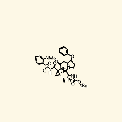 C=C[C@@H]1C[C@]1(NC(=O)CC1C(Oc2ccccc2)CCN1C(=O)[C@@H](NC(=O)OC(C)(C)C)C(C)C)C(=O)NS(=O)(=O)c1ccccc1NC